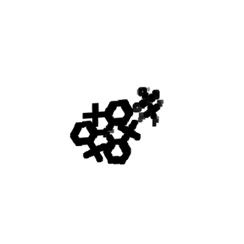 CC(C)(C)c1ccccc1[S+](c1ccccc1C(C)(C)C)c1ccccc1C(C)(C)C.O=S(=O)([O-])C(F)(F)F